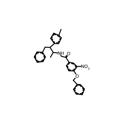 Cc1ccc(C(Cc2ccccc2)C(C)NCC(=O)c2ccc(OCc3ccccc3)c([N+](=O)[O-])c2)cc1